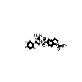 CC(C)C(=O)N1CCc2cc(S(=O)(=O)N3C[C@H](c4ccccc4)N=C3N)ccc21